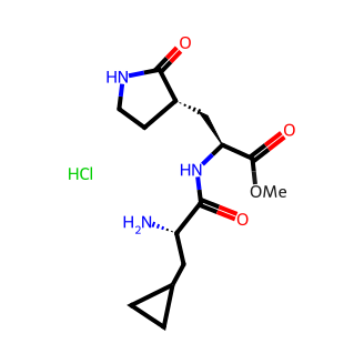 COC(=O)[C@H](C[C@@H]1CCNC1=O)NC(=O)[C@@H](N)CC1CC1.Cl